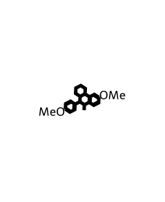 COc1ccc(C2C(C)c3ccc(OC)cc3C3CCCCC32)cc1